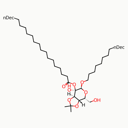 CCCCCCCCCCCCCCCCCCCCCCCCCC(=O)O[C@@]1(O)[C@@H](OCCCCCCCCCCCCCCCCCC)O[C@H](CO)[C@@H]2OC(C)(C)O[C@H]21